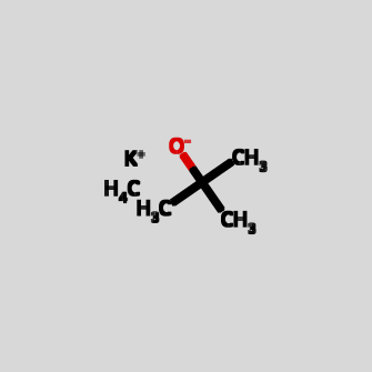 C.CC(C)(C)[O-].[K+]